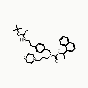 CC(NC(=O)N(CCCN1CCOCC1)Cc1ccc(CCNC(=O)OC(C)(C)C)cc1)c1cccc2ccccc12